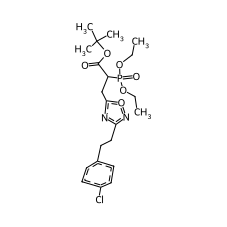 CCOP(=O)(OCC)C(Cc1nc(CCc2ccc(Cl)cc2)no1)C(=O)OC(C)(C)C